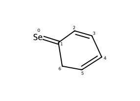 [Se]=C1C=CC=CC1